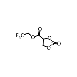 O=C(OCC(F)(F)F)C1COS(=O)O1